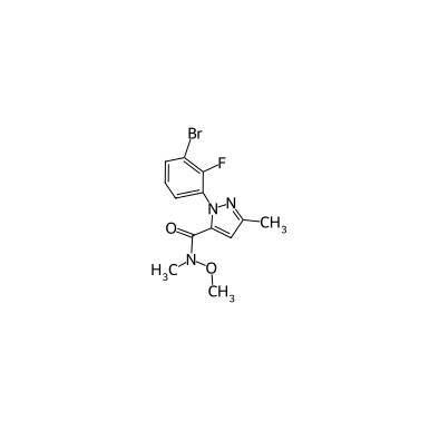 CON(C)C(=O)c1cc(C)nn1-c1cccc(Br)c1F